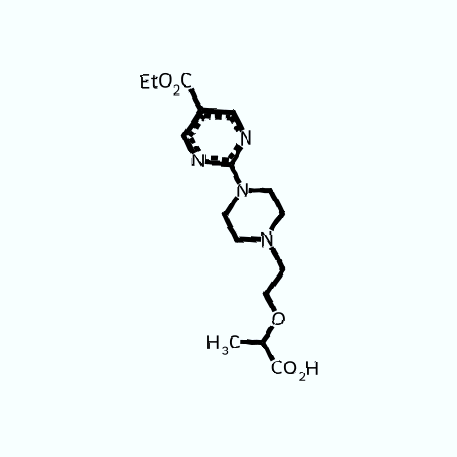 CCOC(=O)c1cnc(N2CCN(CCOC(C)C(=O)O)CC2)nc1